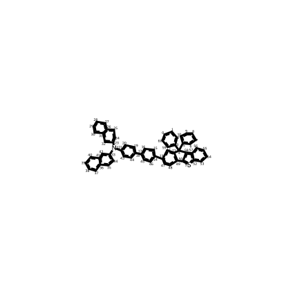 c1ccc(C2(c3ccccc3)c3cc(-c4ccc(-c5ccc(N(c6ccc7ccccc7c6)c6ccc7ccccc7c6)cc5)cc4)ccc3-c3sc4ccccc4c32)cc1